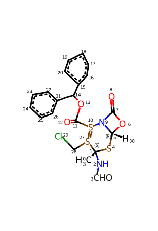 C[C@]1(NC=O)S[C@H]2OC(=O)N2S(C(=O)OC(c2ccccc2)c2ccccc2)=S1CCl